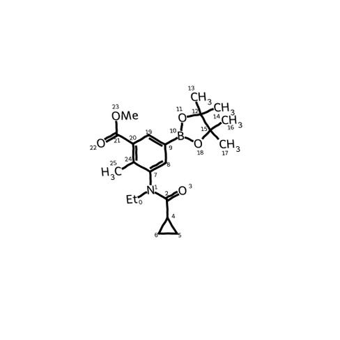 CCN(C(=O)C1CC1)c1cc(B2OC(C)(C)C(C)(C)O2)cc(C(=O)OC)c1C